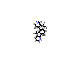 CC1(C)c2cccnc2-c2ccc3c(c21)-c1ccncc1[Si]3(C)C